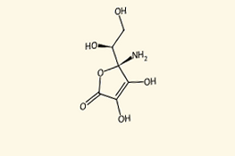 N[C@]1([C@@H](O)CO)OC(=O)C(O)=C1O